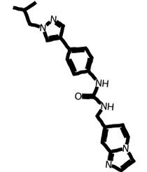 CC(C)Cn1cc(-c2ccc(NC(=O)NCc3ccn4ccnc4c3)cc2)cn1